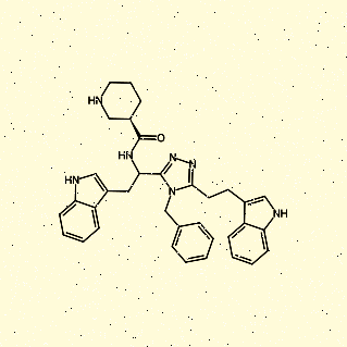 O=C(NC(Cc1c[nH]c2ccccc12)c1nnc(CCc2c[nH]c3ccccc23)n1Cc1ccccc1)[C@@H]1CCCNC1